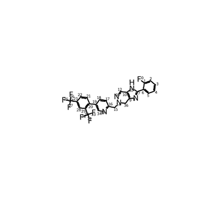 Fc1ccccc1-c1nc2c([nH]1)C=NN(Cc1ccc(-c3ccc(C(F)(F)F)cc3C(F)(F)F)cn1)C2